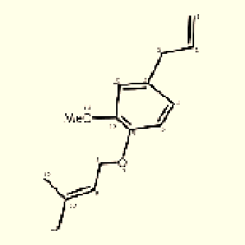 C=CCc1ccc(OCC=C(C)C)c(OC)c1